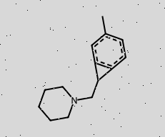 Cc1ccc2c(c1)C2CN1CCCCC1